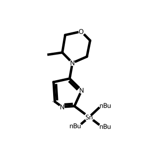 CCC[CH2][Sn]([CH2]CCC)([CH2]CCC)[c]1n[c]cc(N2CCOCC2C)n1